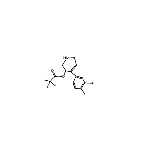 Cc1ccc(C2=CCNCC2OC(=O)C(C)(C)C)cc1F